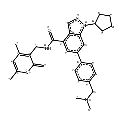 C=C1NC(C)=CC(C)=C1CNC(=O)c1cc(-c2ccc(CN(C)C)cc2)cc2c1cnn2C1CCCC1